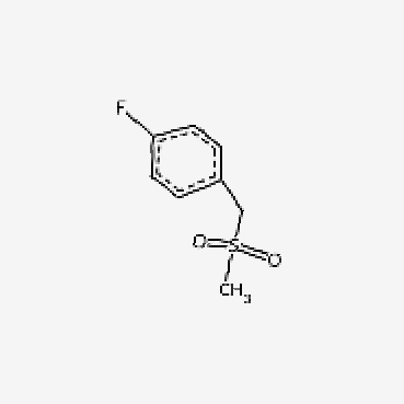 CS(=O)(=O)Cc1ccc(F)cc1